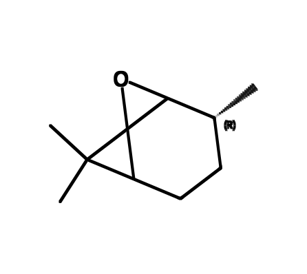 C[C@@H]1CCC2C(C)(C)C23OC13